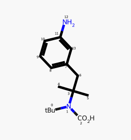 CC(C)(C)N(C(=O)O)C(C)(C)Cc1cccc(N)c1